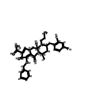 CC(C)CCN1C(Cc2ccc(F)cc2F)C[C@@H](C)N2C(=O)c3c(OCc4ccccc4)c(=O)c(C(N)=O)cn3C[C@H]12